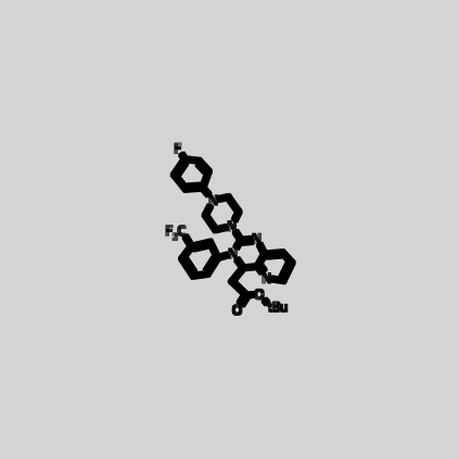 CC(C)(C)OC(=O)CC1c2ncccc2N=C(N2CCN(c3ccc(F)cc3)CC2)N1c1cccc(C(F)(F)F)c1